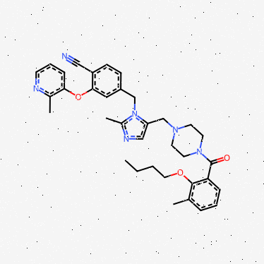 CCCCOc1c(C)cccc1C(=O)N1CCN(Cc2cnc(C)n2Cc2ccc(C#N)c(Oc3cccnc3C)c2)CC1